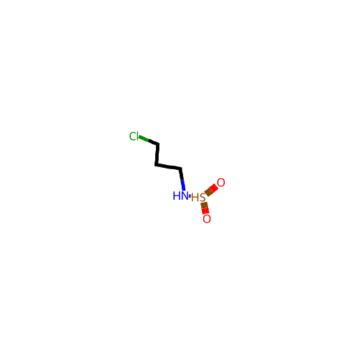 O=[SH](=O)NCCCCl